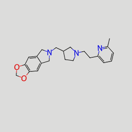 Cc1cccc(CCN2CCC(CN3Cc4cc5c(cc4C3)OCO5)C2)n1